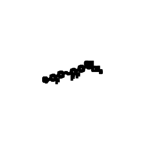 CCCC(O)c1ccc(-c2ccc(CCc3ccc(-c4ccc(C5CO5)cc4F)cc3)c(F)c2F)cc1